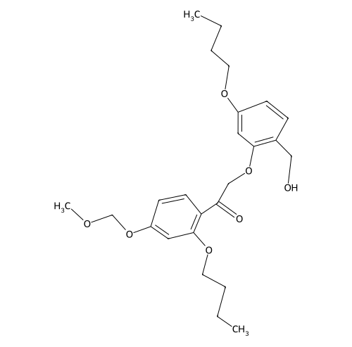 CCCCOc1ccc(CO)c(OCC(=O)c2ccc(OCOC)cc2OCCCC)c1